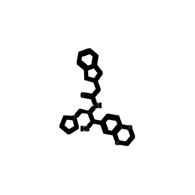 O=C(CC1Cc2ccccc2C1)N[C@H](CN1CCCC1)[C@H](O)c1ccc2c(c1)OCCO2